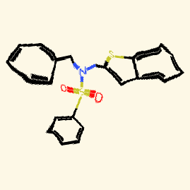 O=S(=O)(c1ccccc1)N(Cc1ccccc1)c1cc2ccccc2s1